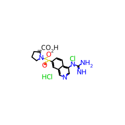 Cl.N=C(N)N(Cl)c1cncc2cc(S(=O)(=O)N3CCC[C@@H]3C(=O)O)ccc12